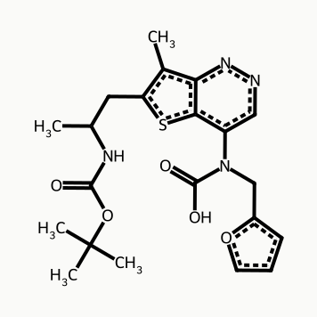 Cc1c(CC(C)NC(=O)OC(C)(C)C)sc2c(N(Cc3ccco3)C(=O)O)cnnc12